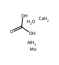 O.O=C(O)O.[AlH3].[CaH2].[Mo]